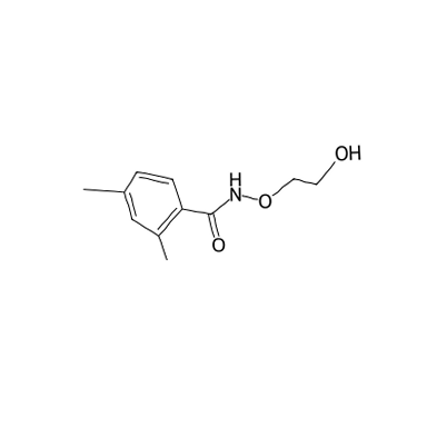 Cc1ccc(C(=O)NOCCO)c(C)c1